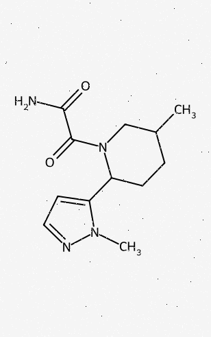 CC1CCC(c2ccnn2C)N(C(=O)C(N)=O)C1